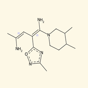 C/C(N)=C/C(=C(\N)N1CCC(C)C(C)C1)c1nc(C)no1